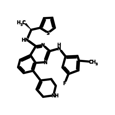 Cc1cc(F)cc(Nc2nc(N[C@H](C)c3cccs3)c3cccc(C4=CCNCC4)c3n2)c1